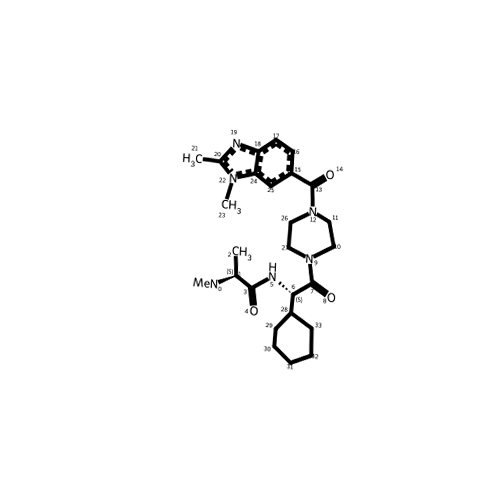 CN[C@@H](C)C(=O)N[C@H](C(=O)N1CCN(C(=O)c2ccc3nc(C)n(C)c3c2)CC1)C1CCCCC1